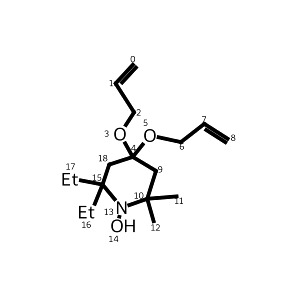 C=CCOC1(OCC=C)CC(C)(C)N(O)C(CC)(CC)C1